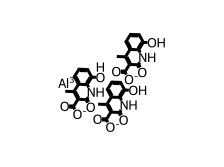 Cc1c(C(=O)[O-])c(=O)[nH]c2c(O)cccc12.Cc1c(C(=O)[O-])c(=O)[nH]c2c(O)cccc12.Cc1c(C(=O)[O-])c(=O)[nH]c2c(O)cccc12.[Al+3]